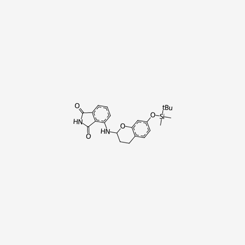 CC(C)(C)[Si](C)(C)Oc1ccc2c(c1)OC(Nc1cccc3c1C(=O)NC3=O)CC2